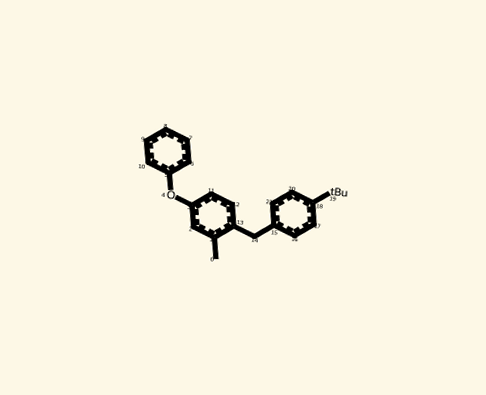 Cc1cc(Oc2ccccc2)ccc1Cc1ccc(C(C)(C)C)cc1